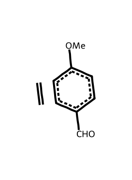 C=C.COc1ccc(C=O)cc1